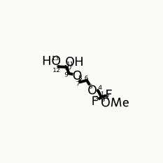 COC(F)(F)COCCOCC(O)CO